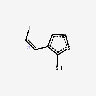 Sc1sccc1/C=C\I